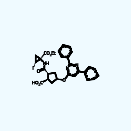 CCOC(=O)[C@@]1(NC(=O)[C@@H]2C[C@@H](Oc3cc(-c4ccccc4)nc(-c4ccccc4)n3)C[C@H]2C(=O)O)C[C@H]1I